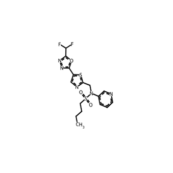 CCCCS(=O)(=O)N(Cc1ncc(-c2nnc(C(F)F)o2)s1)c1cccnc1